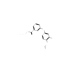 CCCCCCNC(=O)c1cccc(Oc2ccc(OCC(=O)O)c(C)c2)c1